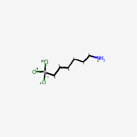 NCCCCCC[Si](Cl)(Cl)Cl